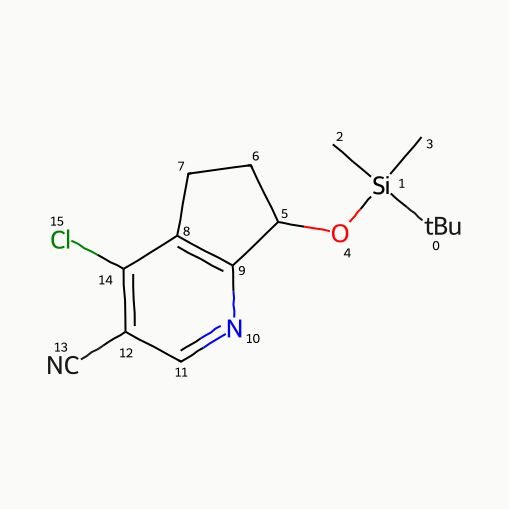 CC(C)(C)[Si](C)(C)OC1CCc2c1ncc(C#N)c2Cl